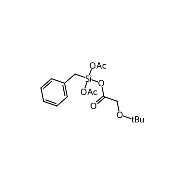 CC(=O)O[Si](Cc1ccccc1)(OC(C)=O)OC(=O)COC(C)(C)C